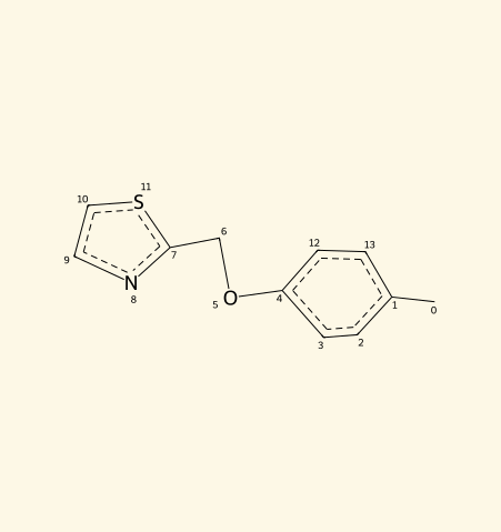 Cc1ccc(OCc2nccs2)cc1